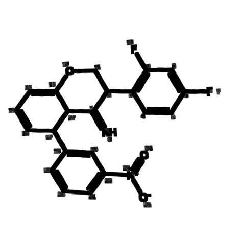 N=C1C(c2ccc(F)cc2F)COC2=CC=CC(c3cccc([N+](=O)[O-])c3)C12